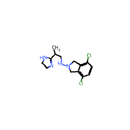 CC(CNN1Cc2c(Cl)ccc(Cl)c2C1)C1=NCCN1